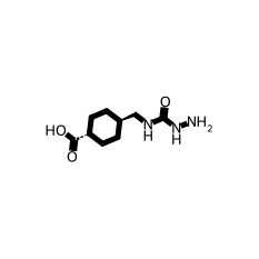 NNC(=O)NC[C@H]1CC[C@H](C(=O)O)CC1